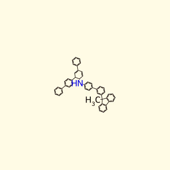 CC1(c2cccc(-c3ccc(NC4C=CC(c5ccccc5)=CC4c4ccc(-c5ccccc5)cc4)cc3)c2)c2ccccc2-c2ccccc21